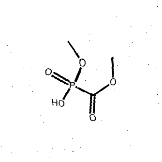 COC(=O)P(=O)(O)OC